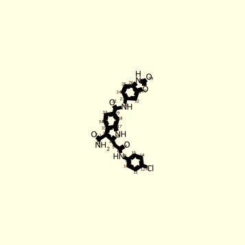 NC(=O)c1c(CC(=O)Nc2ccc(Cl)cc2)[nH]c2cc(C(=O)Nc3ccc4[nH]c(=O)oc4c3)ccc12